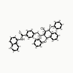 O=C(Nc1cccc2ncccc12)c1ccc(CNC2=C(Cl)C(Oc3ccccc3)c3ccccc3C2Oc2ccccc2)cc1